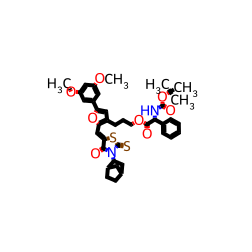 COc1cc(OC)cc(-c2cc(CCCOC(=O)C(NC(=O)OC(C)(C)C)c3ccccc3)c(C=C3SC(=S)N(C4CC5CCC4C5)C3=O)o2)c1